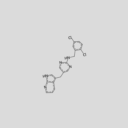 Clc1ccc(Cl)c(CNc2ncc(Cc3c[nH]c4ncccc34)cn2)c1